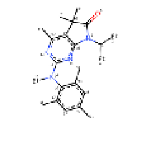 CCC(CC)N1C(=O)C(C)(C)c2c(C)nc(N(CC)c3c(C)cc(C)cc3C)nc21